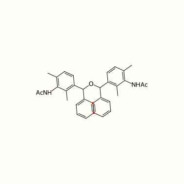 CC(=O)Nc1c(C)ccc(C(OC(c2ccccc2)c2ccc(C)c(NC(C)=O)c2C)c2ccccc2)c1C